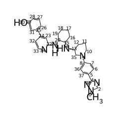 Cn1cnc(-c2ccc(N3CCC[C@H](N[C@@H]4CCCC[C@H]4Nc4cc(-c5cccc(O)c5)ccn4)C3)cc2)n1